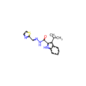 CC(C)c1c(C(=O)NN=Cc2nccs2)[nH]c2ccccc12